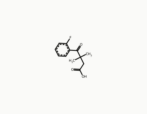 CC(C)(CC(=O)O)C(=O)c1ccccc1F